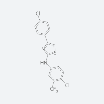 FC(F)(F)c1cc(Nc2nc(-c3ccc(Cl)cc3)cs2)ccc1Cl